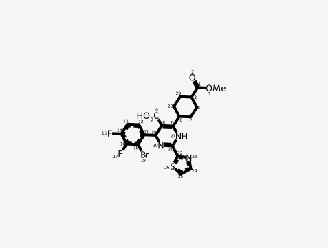 COC(=O)C1CCC(C2=C(C(=O)O)C(c3ccc(F)c(F)c3Br)N=C(c3nccs3)N2)CC1